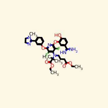 CCOC(=O)CCCN(c1c(F)c(Oc2cccc(C3=NCCN3C)c2)nc(Oc2cc(C(=N)N)ccc2O)c1F)C(C)(C)C(=O)OCC